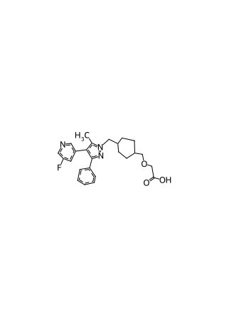 Cc1c(-c2cncc(F)c2)c(-c2ccccc2)nn1CC1CCC(COCC(=O)O)CC1